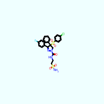 NS(=O)(=O)CCNC(=O)N1CC(c2ccccc2)(S(=O)(=O)c2ccc(Cl)cc2)C(c2ccc(F)cc2)=N1